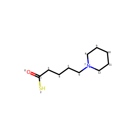 O=C(S)CCCCN1CCCCC1